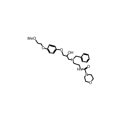 COCCOc1ccc(OCC(O)CN(CCNC(=O)N2CCOCC2)Cc2ccccc2)cc1